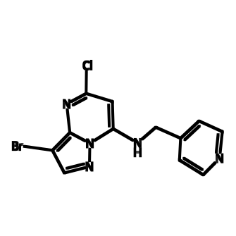 Clc1cc(NCc2ccncc2)n2ncc(Br)c2n1